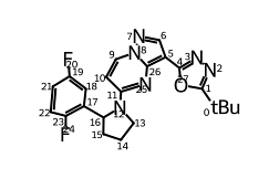 CC(C)(C)c1nnc(-c2cnn3ccc(N4CCCC4c4cc(F)ccc4F)nc23)o1